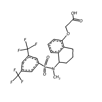 CN(C1CCCc2c(OCC(=O)O)cccc21)S(=O)(=O)c1cc(C(F)(F)F)cc(C(F)(F)F)c1